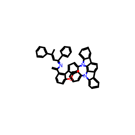 C=C(/N=C(\C=C(/C)c1ccccc1)c1ccccc1)c1cccc2oc3cc(-n4c5ccccc5c5ccc6c7ccccc7n(-c7ccccc7)c6c54)ccc3c12